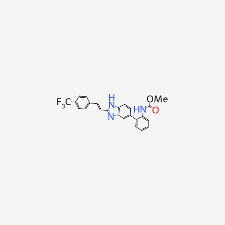 COC(=O)Nc1ccccc1-c1ccc2[nH]c(C=Cc3ccc(C(F)(F)F)cc3)nc2c1